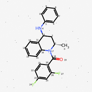 C[C@H]1C[C@H](Nc2ccccc2)c2ccccc2N1C(=O)c1ccc(F)cc1F